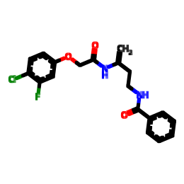 C=C(CCNC(=O)c1ccccc1)NC(=O)COc1ccc(Cl)c(F)c1